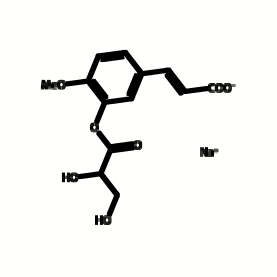 COc1ccc(C=CC(=O)[O-])cc1OC(=O)C(O)CO.[Na+]